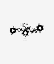 Cl.c1ccc(CONC2CNCc3c2ncn3CCSc2ccccc2)cc1